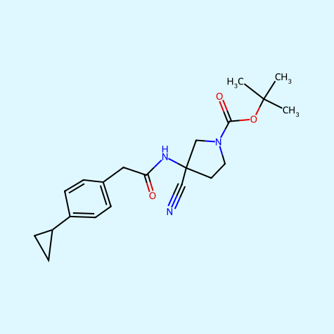 CC(C)(C)OC(=O)N1CCC(C#N)(NC(=O)Cc2ccc(C3CC3)cc2)C1